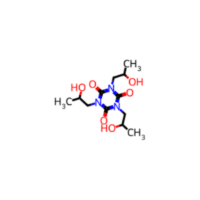 CC(O)Cn1c(=O)n(CC(C)O)c(=O)n(CC(C)O)c1=O